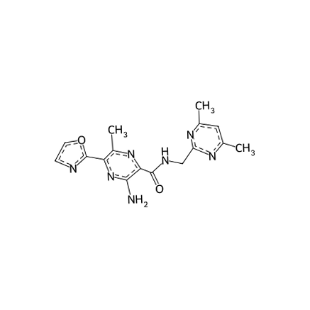 Cc1cc(C)nc(CNC(=O)c2nc(C)c(-c3ncco3)nc2N)n1